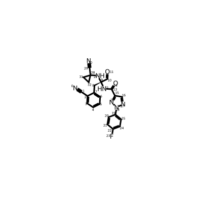 N#Cc1ccccc1C[C@@](C=O)(NC(=O)c1cnn(-c2ccc(F)cc2)n1)NC1(C#N)CC1